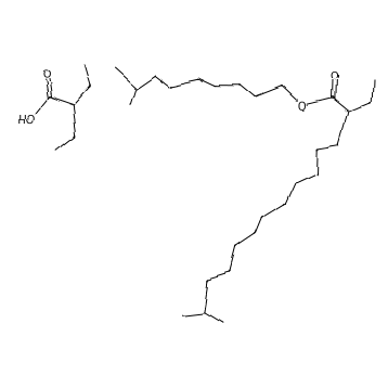 CCC(CC)C(=O)O.CCC(CCCCCCCCCCC(C)C)C(=O)OCCCCCCCC(C)C